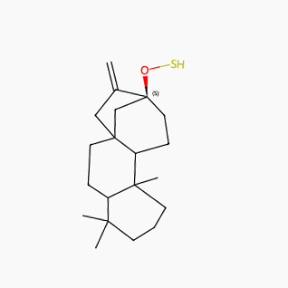 C=C1CC23CCC4C(C)(C)CCCC4(C)C2CC[C@]1(OS)C3